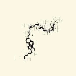 CC(C)CCC[C@@H](C)[C@H]1CC[C@H]2[C@@H]3CC=C4C[C@@H](OC(=O)NCCC(C)(C)OCCC(C)(C)NC(=O)CCC(C)(C)OCCC(C)(C)NC(=O)OC(C)(C)C)CC[C@]4(C)[C@H]3CC[C@]12C